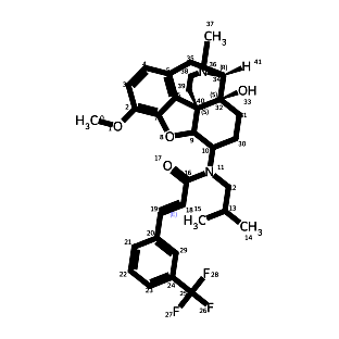 COc1ccc2c3c1OC1C(N(CC(C)C)C(=O)/C=C/c4cccc(C(F)(F)F)c4)CC[C@@]4(O)[C@@H](C2)N(C)CC[C@]314